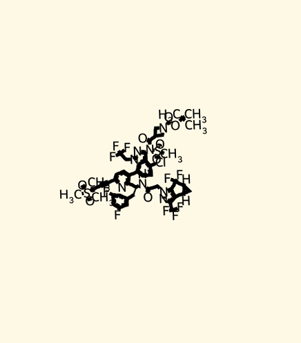 CC(C)(C)OC(=O)N1CC(C(=O)N(c2nn(CC(F)(F)F)c3c(-c4ccc(C#CC(C)(C)S(C)(=O)=O)nc4[C@H](Cc4cc(F)cc(F)c4)NC(=O)Cn4nc(C(F)(F)F)c5c4C(F)(F)[C@@H]4C[C@H]54)ccc(Cl)c23)S(C)(=O)=O)C1